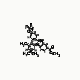 COC(=O)c1ccc2c(c1)nc(-c1ccc(OC(F)(F)F)cc1)n2C1C[C@H](C)CC(C)(C)C1